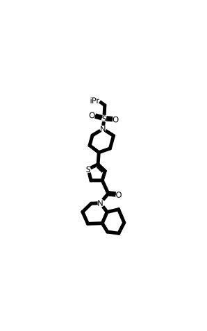 CC(C)CS(=O)(=O)N1CCC(C2=CC(C(=O)N3CCCC4CCCCC43)CS2)CC1